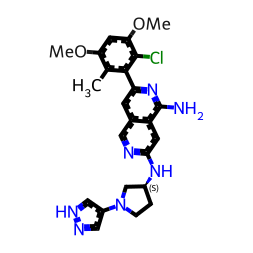 COc1cc(OC)c(Cl)c(-c2cc3cnc(N[C@H]4CCN(c5cn[nH]c5)C4)cc3c(N)n2)c1C